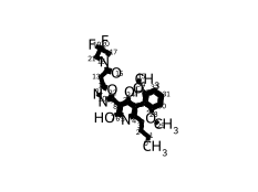 CCCCc1nc(O)c(-c2nnc(CC(=O)N3CC(F)(F)C3)o2)c(O)c1-c1c(OC)cccc1OC